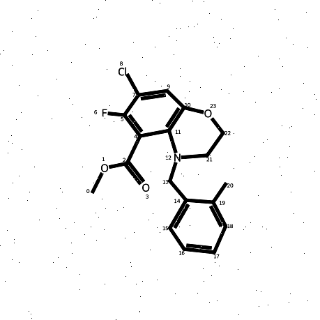 COC(=O)c1c(F)c(Cl)cc2c1N(Cc1ccccc1C)CCO2